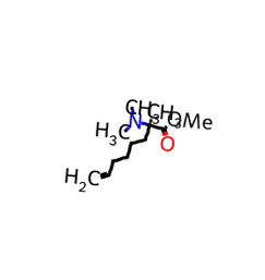 C=CCCCC[C@@](C)(C(=O)OC)N(C)C